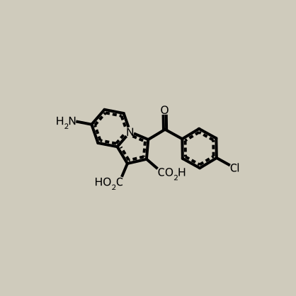 Nc1ccn2c(C(=O)c3ccc(Cl)cc3)c(C(=O)O)c(C(=O)O)c2c1